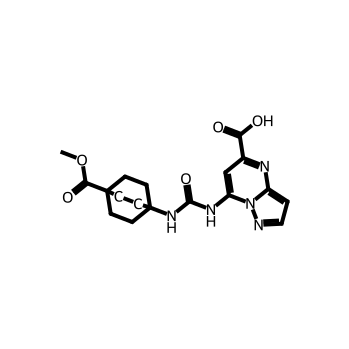 COC(=O)C12CCC(NC(=O)Nc3cc(C(=O)O)nc4ccnn34)(CC1)CC2